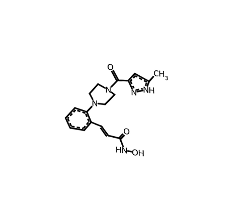 Cc1cc(C(=O)N2CCN(c3ccccc3/C=C/C(=O)NO)CC2)n[nH]1